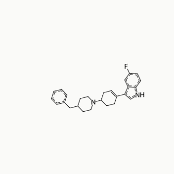 Fc1ccc2[nH]cc(C3=CCC(N4CCC(Cc5ccccc5)CC4)CC3)c2c1